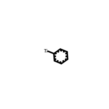 [Ti][c]1ccccc1